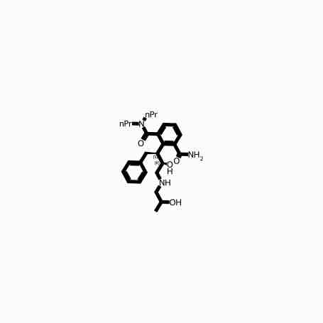 CCCN(CCC)C(=O)c1cccc(C(N)=O)c1[C@H](Cc1ccccc1)[C@@H](O)CNCC(C)O